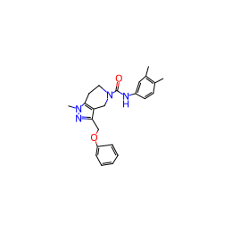 Cc1ccc(NC(=O)N2CCc3c(c(COc4ccccc4)nn3C)C2)cc1C